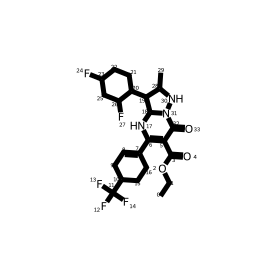 CCOC(=O)C1=C(C2=CCC(C(F)(F)F)CC2)NC2C(C3CCC(F)CC3F)C(C)NN2C1=O